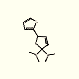 CB(C)C1(B(C)C)C=CC(c2cccs2)S1